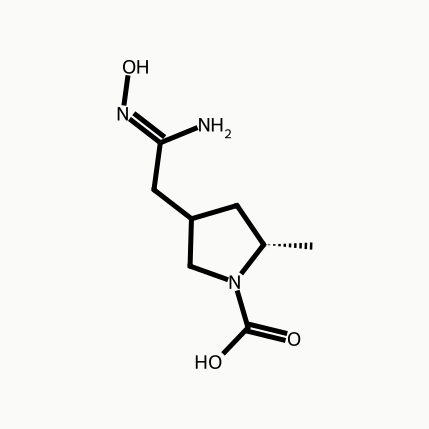 C[C@H]1CC(C/C(N)=N/O)CN1C(=O)O